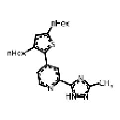 CCCCCCc1cc(CCCCCC)c(-c2ccnc(-c3nc(C)n[nH]3)c2)s1